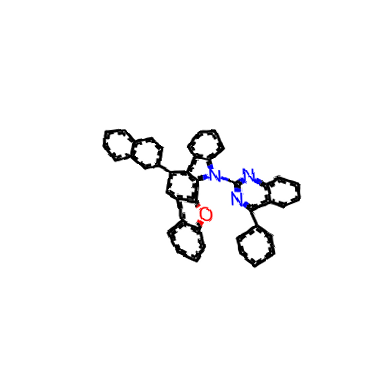 c1ccc(-c2nc(-n3c4ccccc4c4c(-c5ccc6ccccc6c5)cc5c6ccccc6oc5c43)nc3ccccc23)cc1